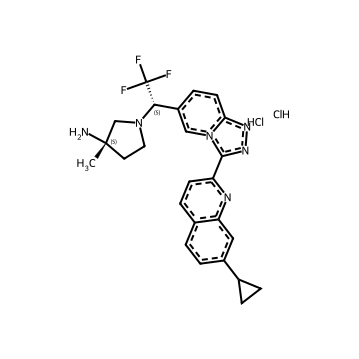 C[C@]1(N)CCN([C@@H](c2ccc3nnc(-c4ccc5ccc(C6CC6)cc5n4)n3c2)C(F)(F)F)C1.Cl.Cl